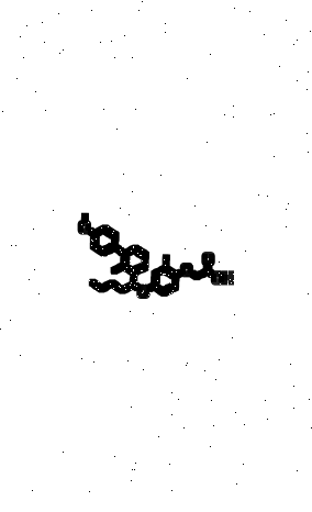 CCCCC(Oc1ccc(OCC(=O)O)c(C)c1)c1cccc(-c2ccc(OC)cc2)c1C